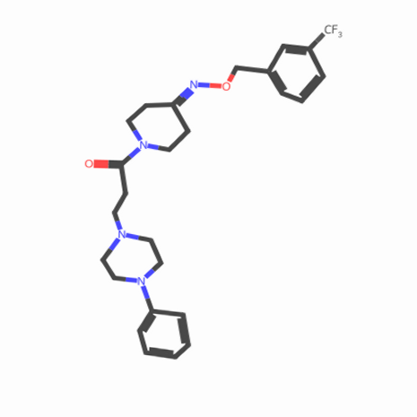 O=C(CCN1CCN(c2ccccc2)CC1)N1CCC(=NOCc2cccc(C(F)(F)F)c2)CC1